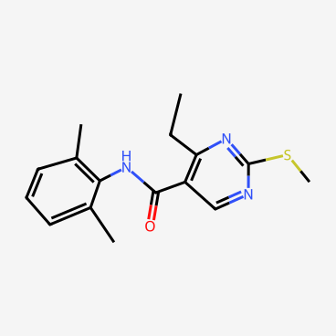 CCc1nc(SC)ncc1C(=O)Nc1c(C)cccc1C